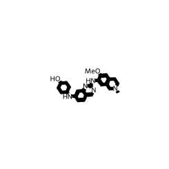 COc1cc2c(cc1Nc1ncc3ccc(NC4CCC(O)CC4)cc3n1)CN(C)CC2